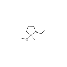 CCN1CCCC1(C)OC